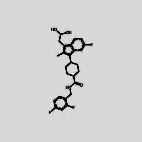 Cc1c(C2CCC(C(=O)NCc3ccc(F)cc3F)CC2)c2cc(F)ccc2n1CC(O)O